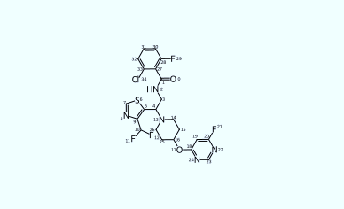 O=C(NCC(c1scnc1C(F)F)N1CCC(Oc2cc(F)ncn2)CC1)c1c(F)cccc1Cl